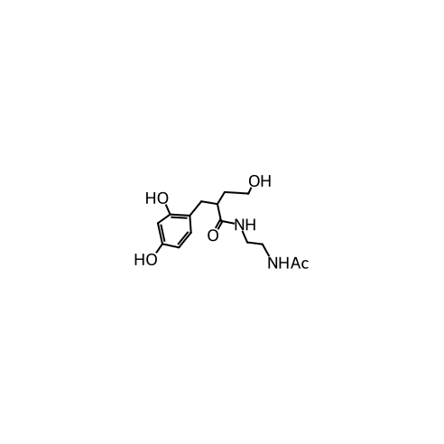 CC(=O)NCCNC(=O)C(CCO)Cc1ccc(O)cc1O